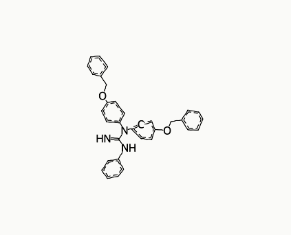 N=C(Nc1ccccc1)N(c1ccc(OCc2ccccc2)cc1)c1ccc(OCc2ccccc2)cc1